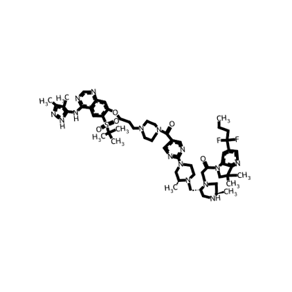 CCCC(F)(F)c1cnc2c(c1)N(C(=O)CN1C[C@@H](C)NC[C@@H]1CN1CCN(c3ncc(C(=O)N4CCN(CCCOc5cc6ncnc(Nc7[nH]nc(C)c7C)c6cc5S(=O)(=O)C(C)(C)C)CC4)cn3)C[C@H]1C)CC2(C)C